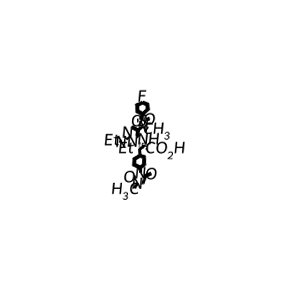 CCN(CC)c1ncc(N(C)S(=O)(=O)c2ccc(F)cc2)c(N[C@@H](Cc2ccc(N3C(=O)CN(C)C3=O)cc2)C(=O)O)n1